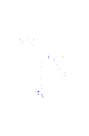 Cc1ncsc1-c1ccc(CNC(=O)[C@@H]2C[C@@H](O)CN2C(=O)[C@@H](NC(=O)COCC(C)(COCCOCCOCCNc2cccc3c2C(=O)N(C2CCC(=O)NC2=O)C3=O)COCCOCCOCCOC(=O)C[C@@H]2N=C(c3ccc(Cl)cc3)c3c(sc(C)c3C)-n3c(C)nnc32)C(C)(C)C)cc1